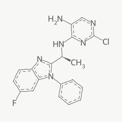 C[C@H](Nc1nc(Cl)ncc1N)c1nc2ccc(F)cc2n1-c1ccccc1